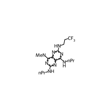 CCCNc1nc(NC)c2nc(NCCC(F)(F)F)nc(NCCC)c2n1